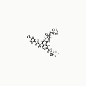 CC(O)CNC(=O)c1cnc2c(c1)cc(C(=O)NCc1ccc(Cl)cc1)c(=O)n2CC(=O)N1CC(C)(C)C1